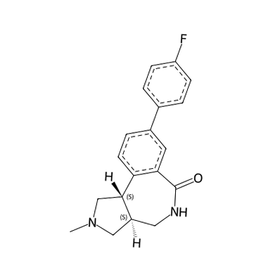 CN1C[C@@H]2CNC(=O)c3cc(-c4ccc(F)cc4)ccc3[C@H]2C1